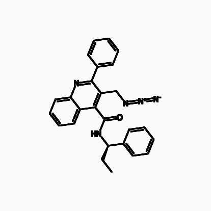 CC[C@@H](NC(=O)c1c(CN=[N+]=[N-])c(-c2ccccc2)nc2ccccc12)c1ccccc1